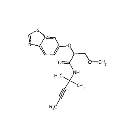 CC#CC(C)(C)NC(=O)C(COC)Oc1ccc2ncsc2c1